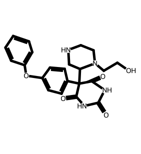 O=C1NC(=O)C(c2ccc(Oc3ccccc3)cc2)(C2CNCCN2CCO)C(=O)N1